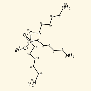 CC(C)[O][Ti](=[O])([CH2]CCCCN)([CH2]CCCCN)[O]CCCCCN